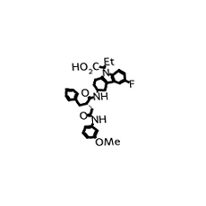 CCC(C(=O)O)n1c2c(c3cc(F)ccc31)C[C@@H](NC(=O)[C@H](CC(=O)Nc1cccc(OC)c1)Cc1ccccc1)CC2